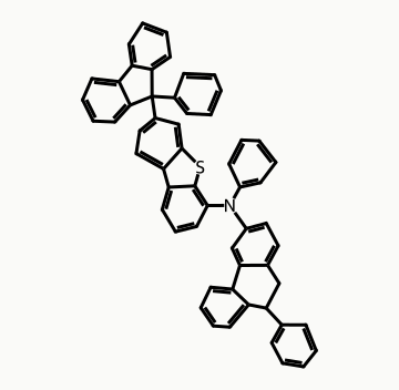 c1ccc(C2Cc3ccc(N(c4ccccc4)c4cccc5c4sc4cc(C6(c7ccccc7)c7ccccc7-c7ccccc76)ccc45)cc3-c3ccccc32)cc1